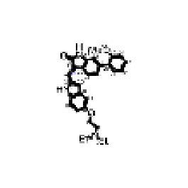 CCN(CC)CCOc1ccc2[nH]c(/C=C3/C(=O)Nc4cc(-c5ccccc5OC)ccc43)cc2c1